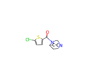 O=C(c1ccc(Cl)s1)N1CCN2CCC1CC2